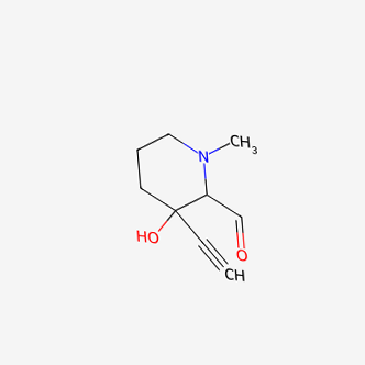 C#CC1(O)CCCN(C)C1C=O